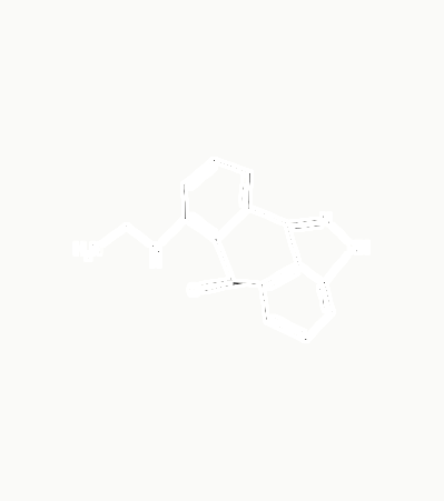 NCNc1cccc2c1C(=O)c1cccc3[nH]nc-2c13